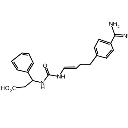 N=C(N)c1ccc(CCC=CNC(=O)NC(CC(=O)O)c2ccccc2)cc1